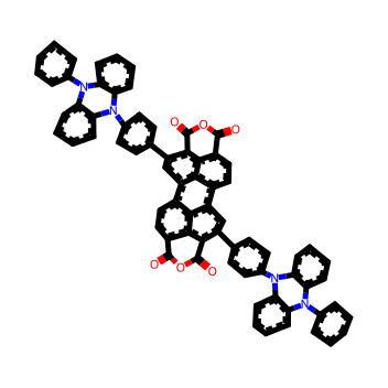 O=C1OC(=O)c2c(-c3ccc(N4c5ccccc5N(c5ccccc5)c5ccccc54)cc3)cc3c4ccc5c6c(c(-c7ccc(N8c9ccccc9N(c9ccccc9)c9ccccc98)cc7)cc(c7ccc1c2c73)c64)C(=O)OC5=O